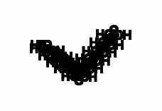 F.O=S(=O)(O)O.O=S(=O)(O)O.O=S(=O)(O)O.O=S(=O)(O)O.O=S(=O)(O)O.O=S(=O)(O)O.O=S(=O)(O)O.O=S(=O)(O)O.O=S(=O)(O)O.O=S(=O)(O)O